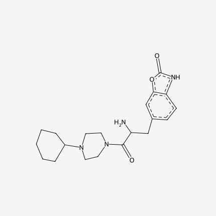 NC(Cc1ccc2[nH]c(=O)oc2c1)C(=O)N1CCN(C2CCCCC2)CC1